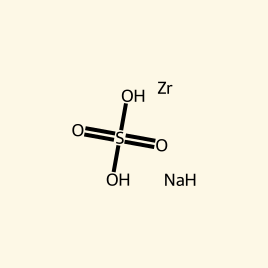 O=S(=O)(O)O.[NaH].[Zr]